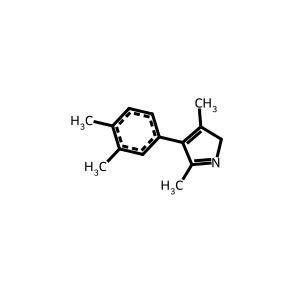 CC1=NCC(C)=C1c1ccc(C)c(C)c1